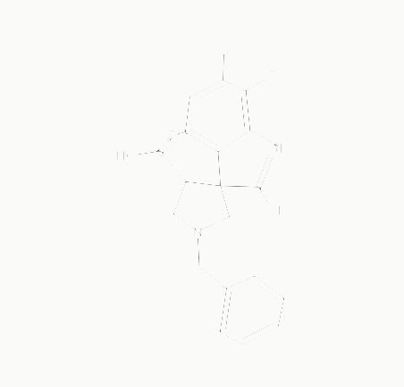 O=C(O)C1CN(Cc2ccccc2)CC1(C(=O)O)c1c(F)cc(F)c(F)c1F